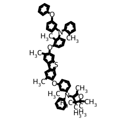 CC1=C(N(c2ccccc2)c2cccc(Oc3cc4sc5cc(Oc6cccc(N(c7cccc(Oc8ccccc8)c7)c7ccccc7C)c6C)c(C)cc5c4cc3C)c2C)C(C)(C)C(C)(C)O1